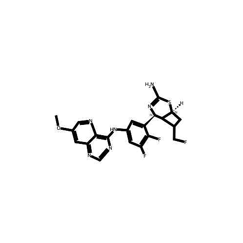 COc1cnc2c(Nc3cc(F)c(F)c([C@H]4N=C(N)S[C@H]5CC(CF)C54)c3)ncnc2c1